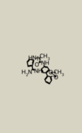 CN(Nc1cccc(C(=N)N)c1)C(=O)Nc1ccc(-c2ccccc2S(C)(=O)=O)cc1